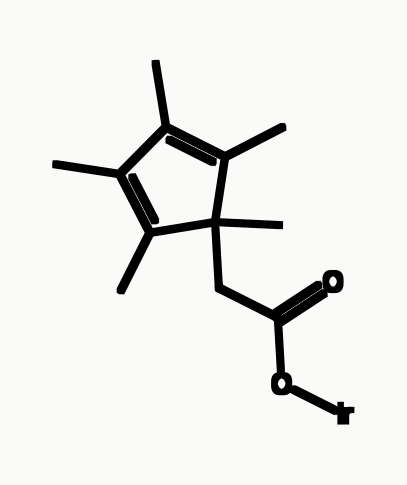 CC1=C(C)C(C)(CC(=O)[O][Ir])C(C)=C1C